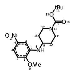 COc1ccc([N+](=O)[O-])cc1NC1CCN(C(=O)OC(C)(C)C)CC1